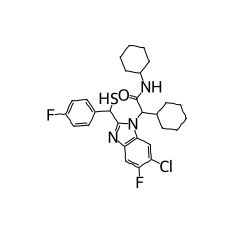 O=C(NC1CCCCC1)C(C1CCCCC1)n1c(C(S)c2ccc(F)cc2)nc2cc(F)c(Cl)cc21